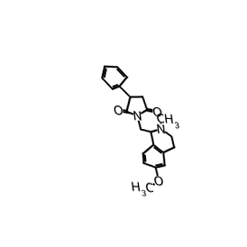 COc1ccc2c(c1)CCN(C)C2CN1C(=O)CC(c2ccccc2)C1=O